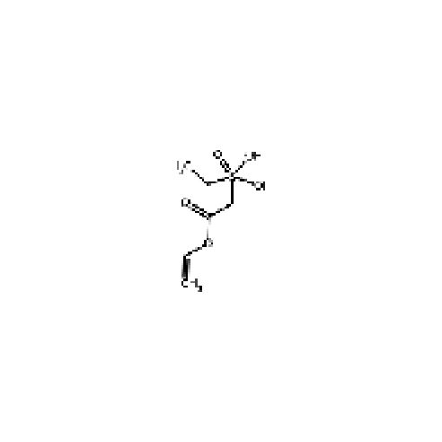 C=COC(=O)CS(=O)(O)(O)CC